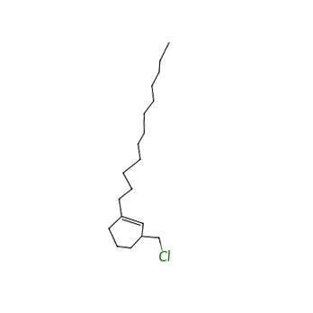 CCCCCCCCCCCCC1=CC(CCl)CCC1